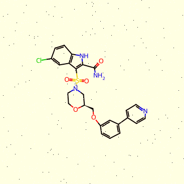 NC(=O)c1[nH]c2ccc(Cl)cc2c1S(=O)(=O)N1CCO[C@H](COc2cccc(-c3ccncc3)c2)C1